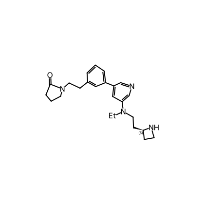 CCN(CC[C@@H]1CCN1)c1cncc(-c2cccc(CCN3CCCC3=O)c2)c1